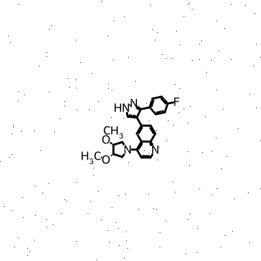 CO[C@H]1CN(c2ccnc3ccc(-c4c[nH]nc4-c4ccc(F)cc4)cc23)C[C@@H]1OC